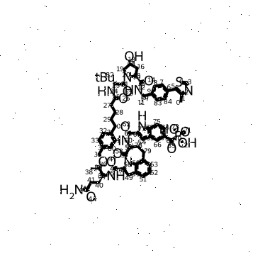 Cc1ncsc1-c1ccc([C@H](C)NC(=O)[C@@H]2C[C@@H](O)CN2C(=O)C(NC(=O)CCCCc2ccc(CO[C@H](C)[C@H](CCC(N)=O)NC(=O)[C@@H]3Cc4cccc5c4N3C(=O)[C@@H](NC(=O)c3cc4cc(C(=O)P(=O)(O)O)ccc4[nH]3)CC5)cc2)C(C)(C)C)cc1